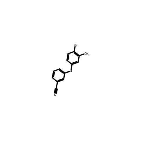 Cc1cc(Oc2cccc(C#N)c2)ccc1Br